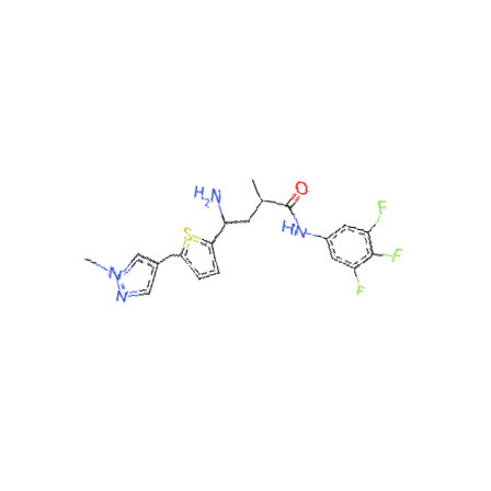 CC(CC(N)c1ccc(-c2cnn(C)c2)s1)C(=O)Nc1cc(F)c(F)c(F)c1